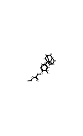 CCOC(=O)COc1ccc(C23CC4CC(CC(C4)C2)C3)cc1C